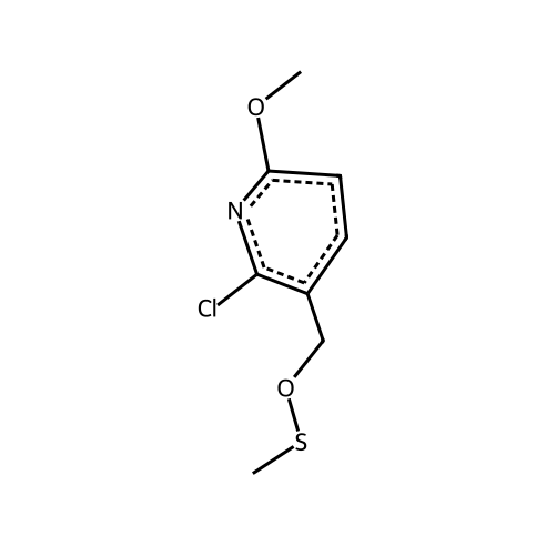 COc1ccc(COSC)c(Cl)n1